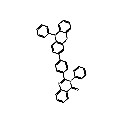 O=c1c2ccccc2nc(-c2ccc(-c3ccc4c(c3)Oc3ccccc3N4c3ccccc3)cc2)n1-c1ccccc1